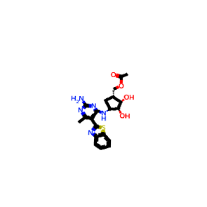 CC(=O)OC[C@H]1C[C@@H](Nc2nc(N)nc(C)c2-c2nc3ccccc3s2)[C@H](O)[C@@H]1O